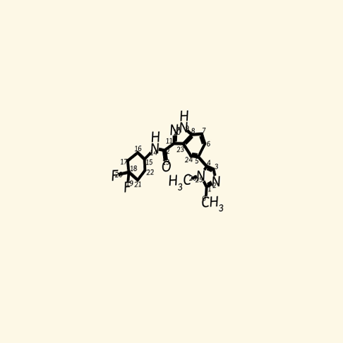 Cc1ncc(-c2ccc3[nH]nc(C(=O)NC4CCC(F)(F)CC4)c3c2)n1C